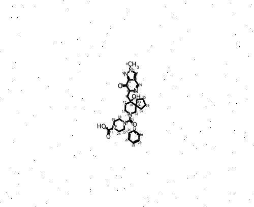 Cn1cc2c(n1)C(=O)C(CC1(O)CCN(C(=O)N3CCN(C(=O)O)C[C@H]3c3ccccc3)CC13CCCC3)N=C2